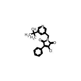 CC(C)(C)c1[c]ncc(CN2C(=O)C(Cl)=C(c3ccccc3)C2=O)c1